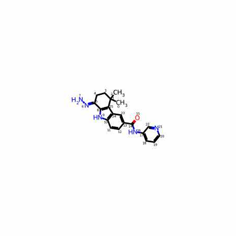 CC1(C)CCC(=NN)c2[nH]c3ccc(C(=O)Nc4cccnc4)cc3c21